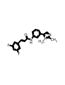 Cc1ncc(-c2cccc(NC(=O)C=Cc3cc(F)cc(F)c3)c2)n1C